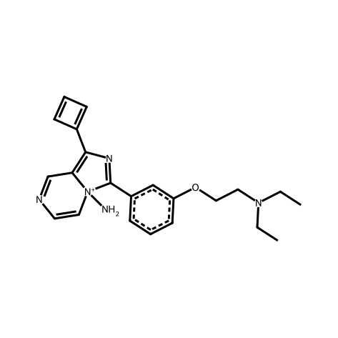 CCN(CC)CCOc1cccc(C2=NC(C3=CC=C3)=C3C=NC=C[N+]23N)c1